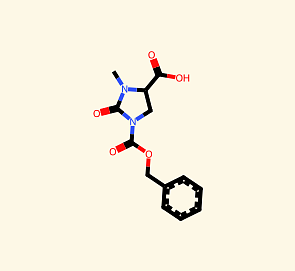 CN1C(=O)N(C(=O)OCc2ccccc2)CC1C(=O)O